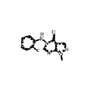 Cn1ncc2c(=O)n(Nc3ccccc3F)cnc21